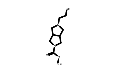 CCCCOC(=O)N1CC2CN(CCO)CC2C1